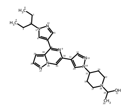 CCC(CC)n1cc(-c2nc(-c3cnn(C4CCN(C(C)O)CC4)c3)cn3nccc23)cn1